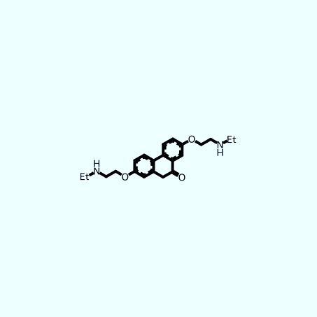 CCNCCOc1ccc2c(c1)CC(=O)c1cc(OCCNCC)ccc1-2